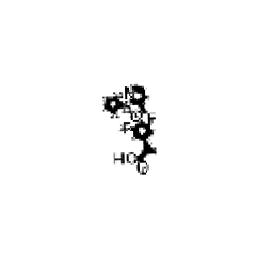 O=C(O)C1CC1c1cc(F)c(OCc2cccnc2SC2CCCC2)c(F)c1